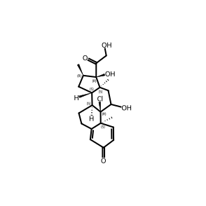 C[C@@H]1C[C@H]2[C@@H]3CCC4=CC(=O)C=C[C@]4(C)[C@@]3(Cl)C(O)C[C@]2(C)[C@@]1(O)C(=O)CO